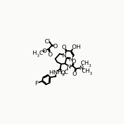 CN(C)C(=O)C(=O)N(C)C1c2ncc(O)c(=O)n2CCCC1C(=O)NCc1ccc(F)cc1.COC(=O)C(=O)Cl